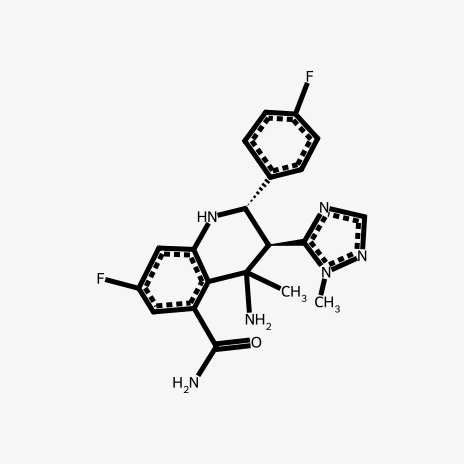 Cn1ncnc1[C@@H]1[C@@H](c2ccc(F)cc2)Nc2cc(F)cc(C(N)=O)c2C1(C)N